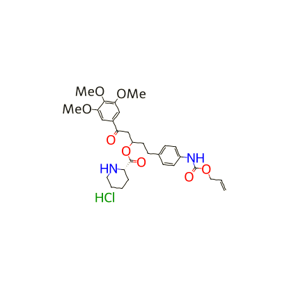 C=CCOC(=O)Nc1ccc(CCC(CC(=O)c2cc(OC)c(OC)c(OC)c2)OC(=O)[C@@H]2CCCCN2)cc1.Cl